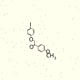 COc1ccc(C(=O)COc2ccc(I)cc2)cc1